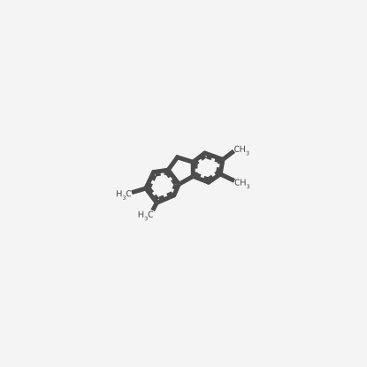 Cc1cc2c(cc1C)-c1cc(C)c(C)cc1[CH]2